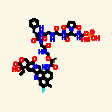 CC[C@@]1(O)C(=O)OCc2c1cc1n(c2=O)Cc2c-1nc1cc(F)c(C)c3c1c2[C@@H](NC(=O)[C@@H](C)OCNC(=O)CNC(=O)[C@H](Cc1ccccc1)NC(=O)CNC(=O)CNC(=O)[C@H](CNCOP(=O)(O)O)N1C(=O)C=CC1=O)CC3